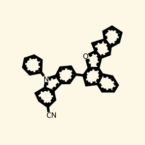 N#Cc1ccc2c(c1)c1cc(-c3cc4ccccc4c4c3oc3cc5ccccc5cc34)ccc1n2-c1ccccc1